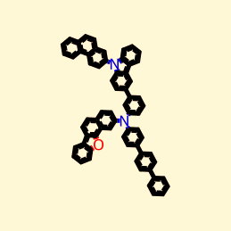 c1ccc(-c2ccc(-c3ccc(N(c4cccc(-c5ccc6c(c5)c5ccccc5n6-c5ccc6c(ccc7ccccc76)c5)c4)c4ccc5ccc6c7ccccc7oc6c5c4)cc3)cc2)cc1